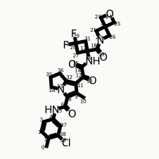 Cc1ccc(NC(=O)c2c(C)c(C(=O)C(=O)NC3(C(=O)N4CC5(COC5)C4)CC(F)(F)C3)c3n2CCC3)cc1Cl